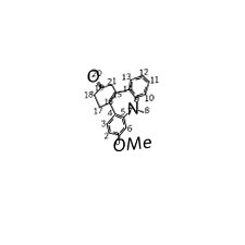 COc1ccc2c(c1)N(C)c1ccccc1C1=C2CCC(=O)C1